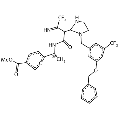 COC(=O)c1ccc([C@H](C)NC(=O)C(C(=N)C(F)(F)F)C2NCCN2Cc2cc(OCc3ccccc3)cc(C(F)(F)F)c2)cc1